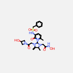 C=C1C(C)N(CC(=O)NO)C(n2c(C)ccc(NS(=O)(=O)Cc3ccccc3)c2=O)N1CC(=O)N1CC(O)C1